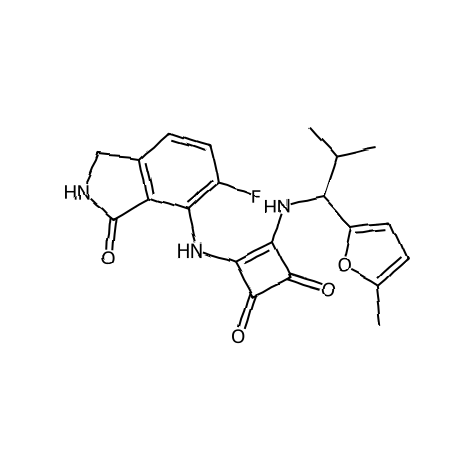 Cc1ccc(C(Nc2c(Nc3c(F)ccc4c3C(=O)NC4)c(=O)c2=O)C(C)C)o1